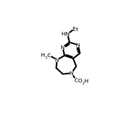 CCNc1ncc2c(n1)N(C)CCN(C(=O)O)C2